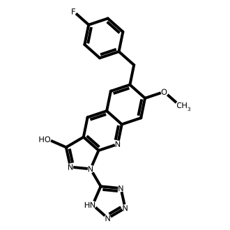 COc1cc2nc3c(cc2cc1Cc1ccc(F)cc1)c(O)nn3-c1nnn[nH]1